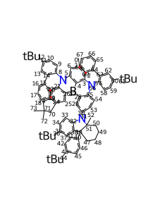 Cc1cc2c3c(c1)N(c1ccc(C(C)(C)C)cc1-c1ccccc1)c1cc4c(cc1B3c1cc(N3c5ccc(C(C)(C)C)cc5C5(c6ccc(C(C)(C)C)cc6)CCCCC35C)ccc1N2c1ccc(C(C)(C)C)cc1-c1ccccc1)CC(C)(C)C4